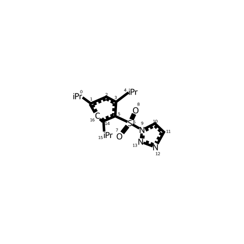 CC(C)c1cc(C(C)C)c(S(=O)(=O)n2ccnn2)c(C(C)C)c1